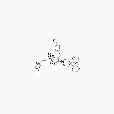 O=C(NCCc1c[nH]cn1)N[C@@H](Cc1ccc(Cl)cc1)C(=O)N1CCC(C(=O)O)(C2CCCCC2)CC1